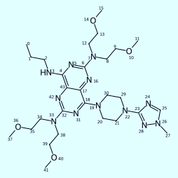 CCCNc1nc(N(CCOC)CCOC)nc2c(N3CCN(c4ncn(C)n4)CC3)nc(N(CCOC)CCOC)nc12